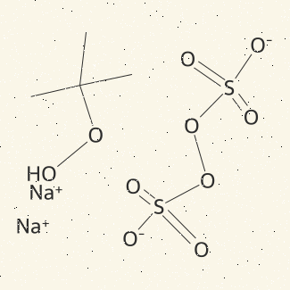 CC(C)(C)OO.O=S(=O)([O-])OOS(=O)(=O)[O-].[Na+].[Na+]